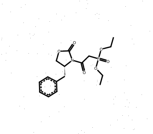 CCOP(=O)(CC(=O)N1C(=O)OC[C@H]1Cc1ccccc1)OCC